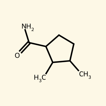 CC1CCC(C(N)=O)C1C